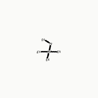 CC[N][N+](CC)(CC)CC